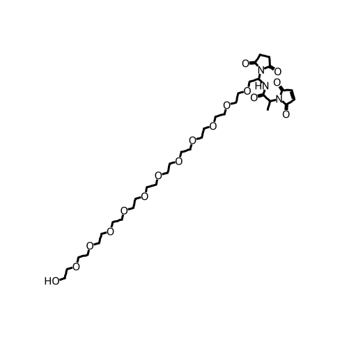 CC(C(=O)NC(COCCOCCOCCOCCOCCOCCOCCOCCOCCOCCOCCO)N1C(=O)CCC1=O)N1C(=O)C=CC1=O